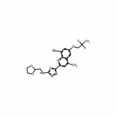 Cc1cc(-c2nnc(NCC3OCCO3)o2)nc2c(C(C)(C)C)cc(OCC(C)(F)F)cc12